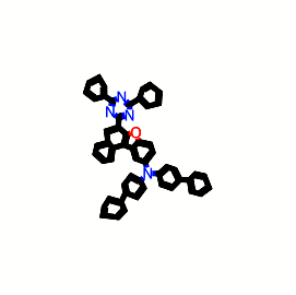 c1ccc(-c2ccc(N(c3ccc(-c4ccccc4)cc3)c3ccc4oc5c(-c6nc(-c7ccccc7)nc(-c7ccccc7)n6)cc6ccccc6c5c4c3)cc2)cc1